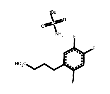 CC(C)(C)S(N)(=O)=O.O=C(O)CCCc1cc(F)c(F)cc1F